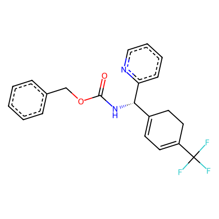 O=C(N[C@@H](C1=CC=C(C(F)(F)F)CC1)c1ccccn1)OCc1ccccc1